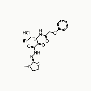 CC(C)C[C@H](NC(=O)COc1ccccc1)C(=O)C(=O)NN=C1SCCN1C.Cl